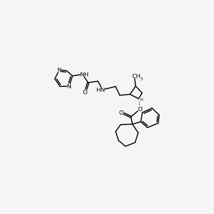 CC1C[C@H](OC(=O)C2(c3ccccc3)CCCCCC2)C1CCNCC(=O)Nc1cnccn1